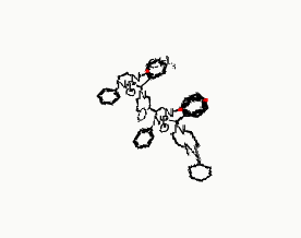 CCCC(N1CCOC(C2CN(c3ccccc3)P(=O)(C(c3ccccc3)N3CCN(C4CCCCC4)CC3)N2c2ccccc2)C1)P1(=O)N(c2ccccc2)CCN1c1ccccc1